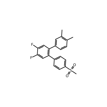 Cc1ccc(-c2cc(F)c(F)cc2-c2ccc(S(C)(=O)=O)cc2)cc1C